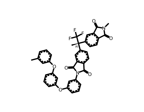 Cc1cccc(Oc2cccc(Oc3cccc(N4C(=O)c5ccc([C@@](C)(c6ccc7c(c6)C(=O)N(C)C7=O)C(F)(F)F)cc5C4=O)c3)c2)c1